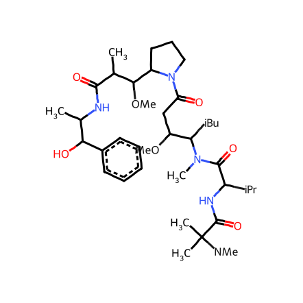 CCC(C)C(C(CC(=O)N1CCCC1C(OC)C(C)C(=O)NC(C)C(O)c1ccccc1)OC)N(C)C(=O)C(NC(=O)C(C)(C)NC)C(C)C